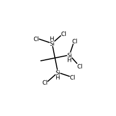 CC([SiH](Cl)Cl)([SiH](Cl)Cl)[SiH](Cl)Cl